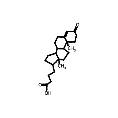 CC12CCC(=O)C=C1CCC1C2CCC2(C)C(CCCC(=O)O)CCC12